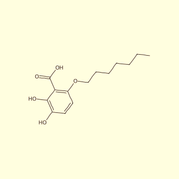 CCCCCCCOc1ccc(O)c(O)c1C(=O)O